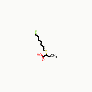 CCC(SCCCCCCCF)C(=O)O